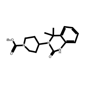 CC(C)COC(=O)N1CCC(N2C(=O)Nc3ccccc3C2(C)C)CC1